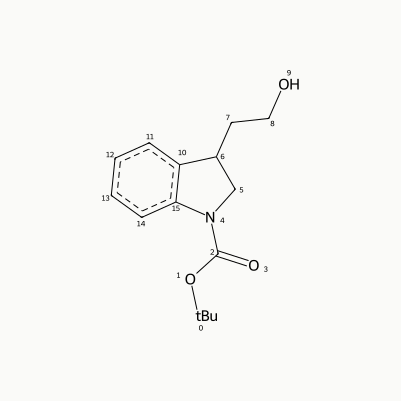 CC(C)(C)OC(=O)N1CC(CCO)c2ccccc21